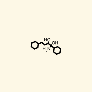 NC(O)(C(O)CCC1CCCCC1)C1CCCCC1